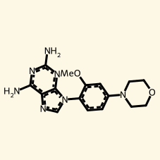 COc1cc(N2CCOCC2)ccc1-n1cnc2c(N)nc(N)nc21